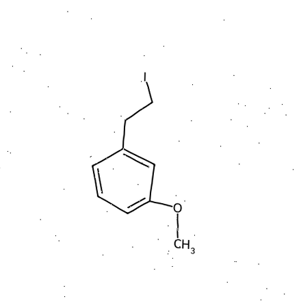 COc1cccc(CCI)c1